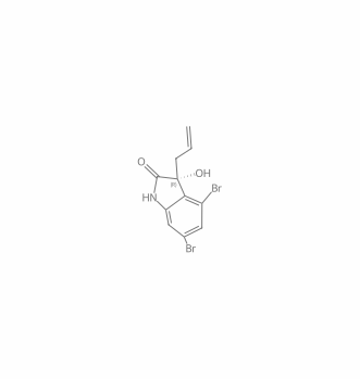 C=CC[C@]1(O)C(=O)Nc2cc(Br)cc(Br)c21